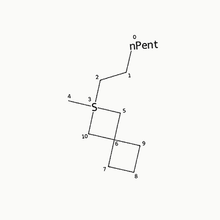 CCCCCCCS1(C)CC2(CCC2)C1